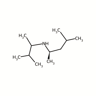 CC(C)C[C@@H](C)NC(C)C(C)C